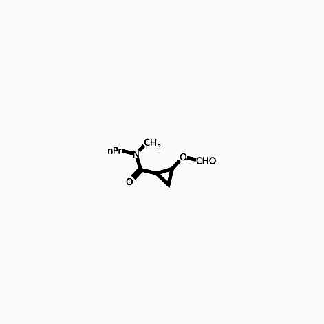 CCCN(C)C(=O)C1CC1OC=O